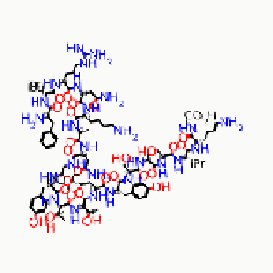 CC[C@H](C)[C@H](NC(=O)[C@@H](N)Cc1ccccc1)C(=O)N[C@@H](CCCNC(=N)N)C(=O)N[C@@H](CC(N)=O)C(=O)N[C@@H](CCCCN)C(=O)N[C@@H](C)C(=O)N[C@@H](CC(N)=O)C(=O)NCC(=O)N[C@@H](Cc1ccc(O)cc1)C(=O)N[C@H](C(=O)N[C@H](C(=O)N[C@@H](CCC(=O)O)C(=O)N[C@@H](Cc1ccc(O)cc1)C(=O)N[C@@H](CO)C(=O)N[C@@H](C)C(=O)N[C@@H](CO)C(=O)N[C@H](C(=O)N[C@@H](CCCCN)C(=O)NCC(=O)O)C(C)C)[C@@H](C)O)[C@@H](C)O